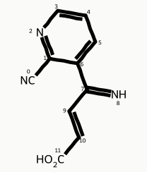 N#Cc1ncccc1C(=N)/C=C/C(=O)O